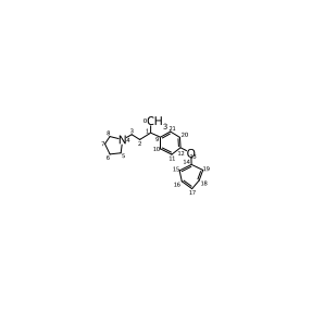 CC(CCN1CCCC1)c1ccc(Oc2ccccc2)cc1